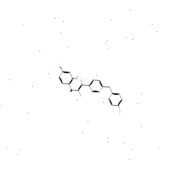 Cc1c(-c2ccc(Cc3ccc(F)cc3)cc2)[nH]c2cc(Cl)ccc2c1=O